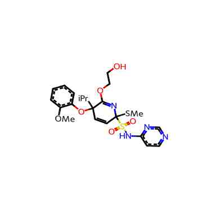 COc1ccccc1OC1(C(C)C)C=CC(SC)(S(=O)(=O)Nc2ccncn2)N=C1OCCO